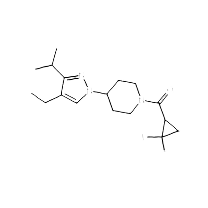 CCc1cn(C2CCN(C(=O)C3CC3(F)F)CC2)nc1C(C)C